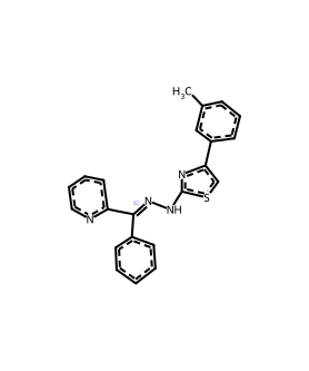 Cc1cccc(-c2csc(N/N=C(\c3ccccc3)c3ccccn3)n2)c1